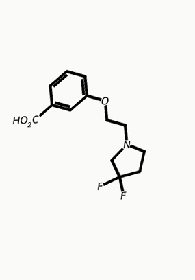 O=C(O)c1cccc(OCCN2CCC(F)(F)C2)c1